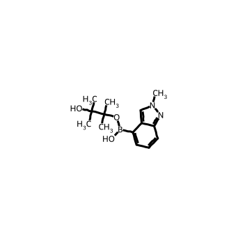 Cn1cc2c(B(O)OC(C)(C)C(C)(C)O)cccc2n1